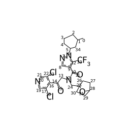 CC1CCCC(n2ncc(C(=O)N(CC(=O)c3c(Cl)cncc3Cl)CC34CCC(CC3)O4)c2C(F)(F)F)C1